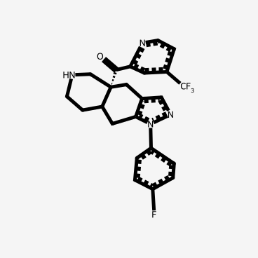 O=C(c1cc(C(F)(F)F)ccn1)[C@@]12CNCCC1Cc1c(cnn1-c1ccc(F)cc1)C2